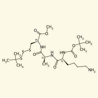 COC(=O)[C@H](CSSSC(C)(C)C)NC(=O)[C@H](C)NC(=O)[C@H](CCCCN)NC(=O)OC(C)(C)C